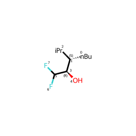 CCCC[C@@H](C(C)C)[C@@H](O)C(F)F